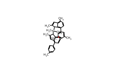 CC1=Cc2c(-c3ccc(C)cc3)cccc2C1[Si](C)(C)C1C(C)=Cc2c(C)ccc(-c3cc(C)cc(C)c3)c21